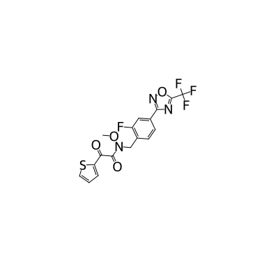 CON(Cc1ccc(-c2noc(C(F)(F)F)n2)cc1F)C(=O)C(=O)c1cccs1